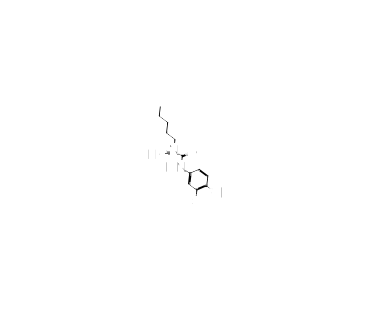 CCCCCN(O)C(=O)Nc1ccc(Cl)c(Cl)c1